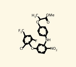 COC(=O)C(C)Oc1ccc(Nc2cc(Oc3c(F)cc(C(F)(F)F)cc3Cl)ccc2[N+](=O)[O-])cc1